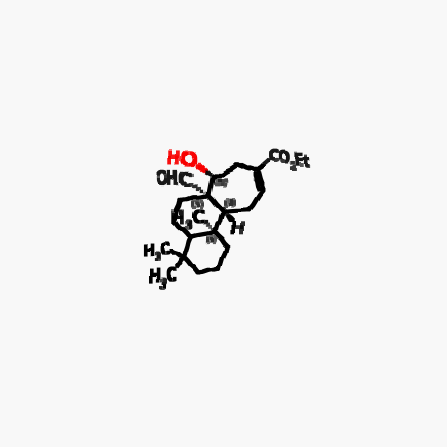 CCOC(=O)C1=CC[C@H]2[C@@](C=O)(CCC3C(C)(C)CCC[C@@]32C)[C@@H](O)C1